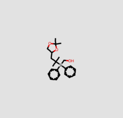 CC1(C)OCC(CC(C)(C)[Si](CO)(c2ccccc2)c2ccccc2)O1